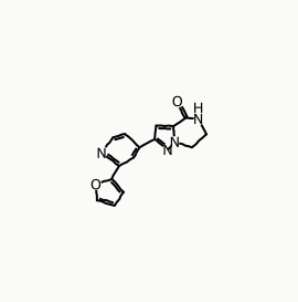 O=C1NCCn2nc(-c3ccnc(-c4ccco4)c3)cc21